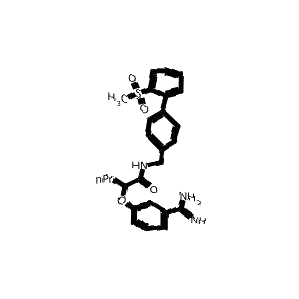 CCCC(Oc1cccc(C(=N)N)c1)C(=O)NCc1ccc(-c2ccccc2S(C)(=O)=O)cc1